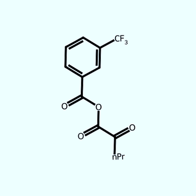 CCCC(=O)C(=O)OC(=O)c1cccc(C(F)(F)F)c1